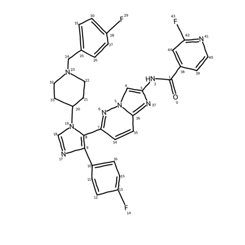 O=C(Nc1cn2nc(-c3c(-c4ccc(F)cc4)ncn3C3CCN(Cc4ccc(F)cc4)CC3)ccc2n1)c1ccnc(F)c1